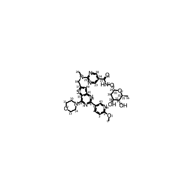 COc1ccc(-c2nc(N3CCOCC3)c3sc(CN(C)c4ncc(C(=O)NO[C@H]5C[C@H](O)[C@@H](O)[C@H](C)O5)cn4)cc3n2)cn1